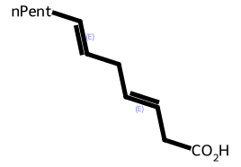 CCCCC/C=C/C/C=C/CC(=O)O